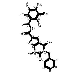 CC(OC(=O)c1cc2c(=O)n(Cc3ccccc3)c(=O)n(C)c2s1)c1c(F)c(F)c(F)c(F)c1F